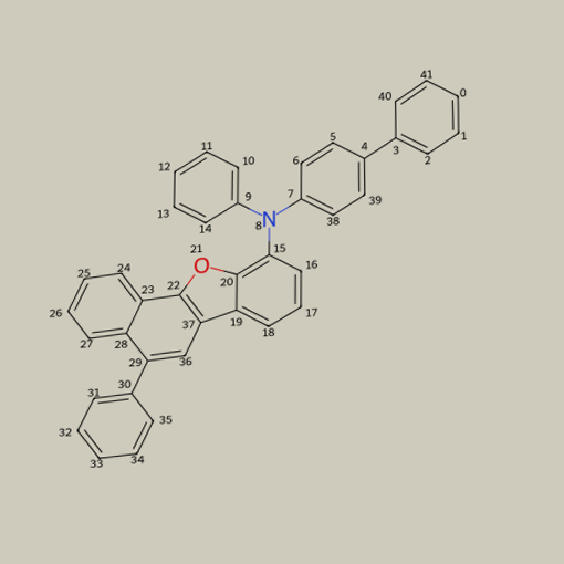 c1ccc(-c2ccc(N(c3ccccc3)c3cccc4c3oc3c5ccccc5c(-c5ccccc5)cc43)cc2)cc1